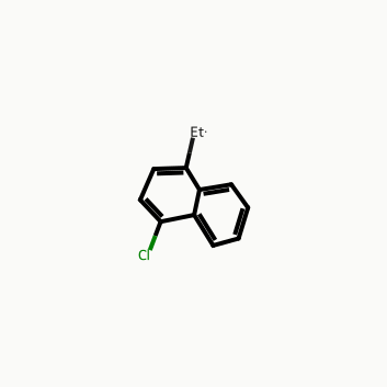 C[CH]c1ccc(Cl)c2ccccc12